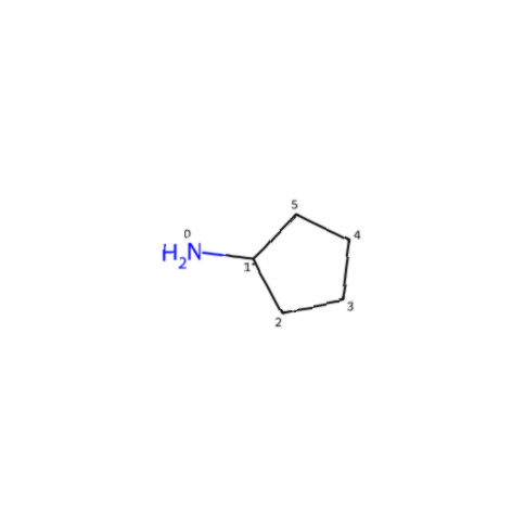 N[C]1CCCC1